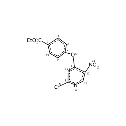 CCOC(=O)c1ccc(Oc2nc(Cl)ncc2[N+](=O)[O-])cc1